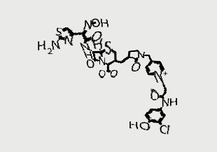 Nc1nc(/C(=N/O)C(=O)N[C@@H]2C(=O)N3C(C(=O)[O-])=C(/C=C4\CCN(Cc5cc[n+](CC(=O)Nc6ccc(O)c(Cl)c6)cc5)C4=O)CS[C@H]23)cs1